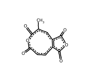 Cc1cc2c(=O)oc(=O)c=2ccc(=O)oc1=O